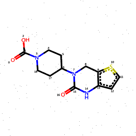 O=C(O)N1CCC(N2Cc3sccc3NC2=O)CC1